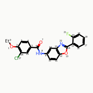 CCOc1ccc(C(=O)Nc2ccc3oc(-c4ccccc4F)nc3c2)cc1Cl